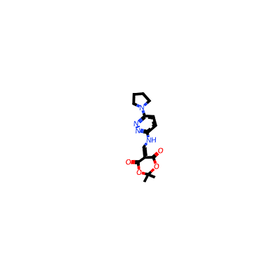 CC1(C)OC(=O)C(=CNc2ccc(N3CCCC3)nn2)C(=O)O1